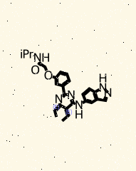 C/C=c1/nc(-c2cccc(OCC(=O)NC(C)C)c2)nc(Nc2ccc3[nH]ncc3c2)/c1=C/C